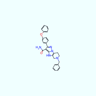 NC(=O)c1c(-c2ccc(Oc3ccccc3)cc2)nn2c3c([nH]c12)CN(Cc1ccccc1)CC3